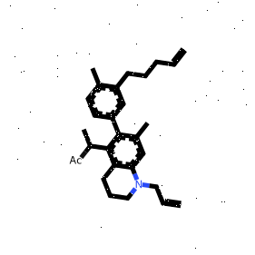 C=CCCCc1cc(-c2c(C)cc3c(c2C(C)C(C)=O)CCCN3CC=C)ccc1C